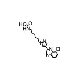 O=C(O)NCCCCCCn1cc(-c2cnc3cccc(Cl)c3n2)cn1